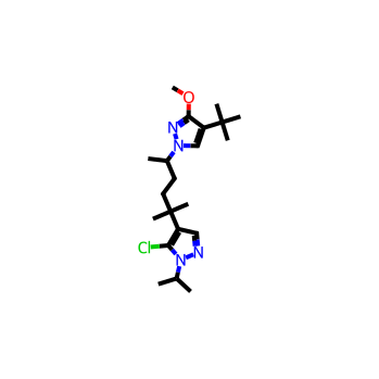 COc1nn(C(C)CCC(C)(C)c2cnn(C(C)C)c2Cl)cc1C(C)(C)C